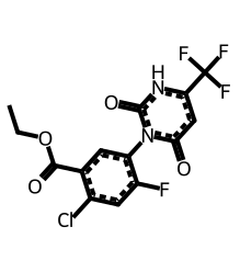 CCOC(=O)c1cc(-n2c(=O)cc(C(F)(F)F)[nH]c2=O)c(F)cc1Cl